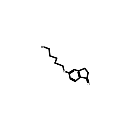 O=C1CCc2cc(OCCCCCBr)ccc21